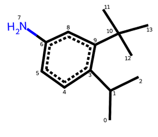 CC(C)c1ccc(N)cc1C(C)(C)C